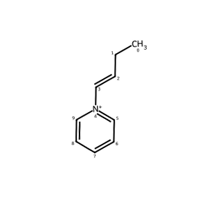 CCC=C[n+]1ccccc1